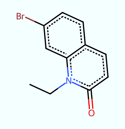 CCn1c(=O)ccc2ccc(Br)cc21